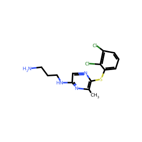 Cc1nc(NCCCN)cnc1Sc1cccc(Cl)c1Cl